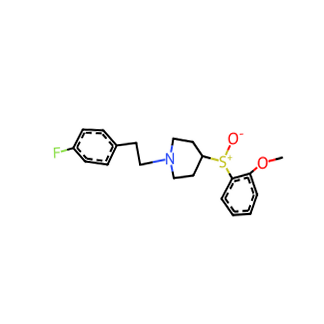 COc1ccccc1[S+]([O-])C1CCN(CCc2ccc(F)cc2)CC1